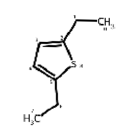 CCc1ccc(CC)s1